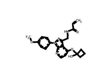 C=CC(=O)NCc1nn(-c2ccc(OC(F)(F)F)cc2)c2nccc(OC3(O)CCC3)c12